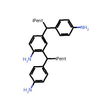 CCCC(C)C(c1ccc(N)cc1)c1ccc(N)c(C(c2ccc(N)cc2)C(C)CCC)c1